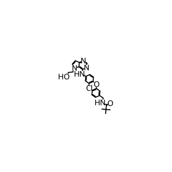 CC(C)(C)C(=O)NCc1cccc(Oc2ccc(Nc3ncnc4ccn(CCO)c34)cc2Cl)c1